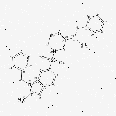 Cc1nc2ccc(S(=O)(=O)N(CC(C)C)C[C@@H](O)[C@@H](N)Cc3ccccc3)cc2n1Cc1ccccc1